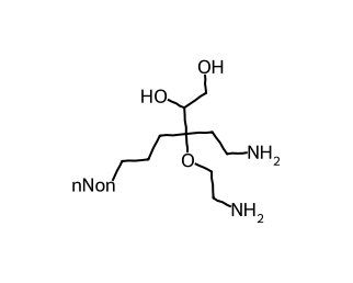 CCCCCCCCCCCCC(CCN)(OCCN)C(O)CO